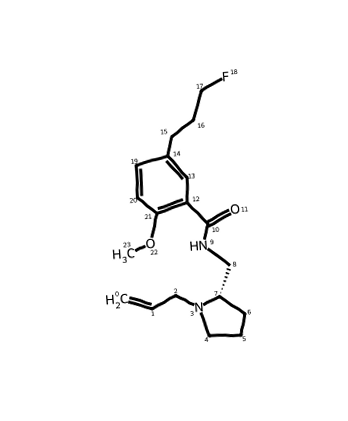 C=CCN1CCC[C@H]1CNC(=O)c1cc(CCCF)ccc1OC